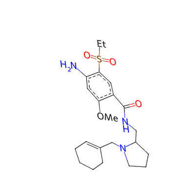 CCS(=O)(=O)c1cc(C(=O)NCC2CCCN2CC2=CCCCC2)c(OC)cc1N